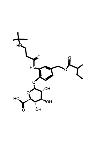 CCC(C)C(=O)OCc1ccc(O[C@H]2O[C@H](C(=O)O)[C@@H](O)[C@H](O)[C@H]2O)c(NC(=O)CCNC(C)(C)C)c1